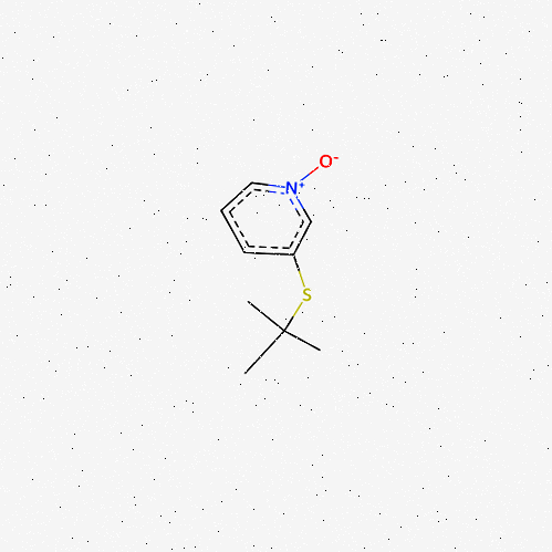 CC(C)(C)Sc1ccc[n+]([O-])c1